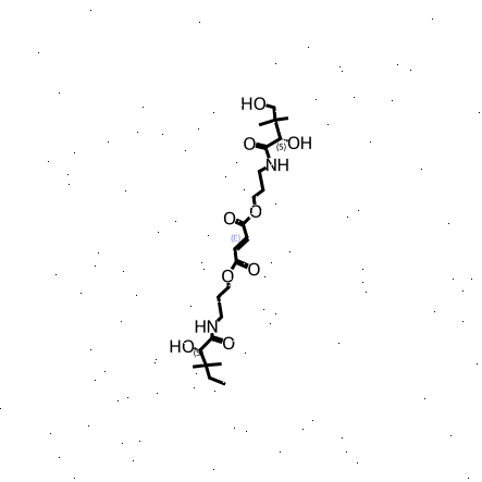 CCC(C)(C)[C@H](O)C(=O)NCCCOC(=O)/C=C/C(=O)OCCCNC(=O)[C@@H](O)C(C)(C)CO